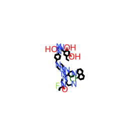 C=C(F)C(=O)N1CCN(c2nc(N3CCN(Cc4ccc(-n5c(O)nnc5-c5cc(CC)c(O)cc5O)cc4)CC3)nc3c2CCN(c2cccc4cccc(Cl)c24)C3)CC1CC#N